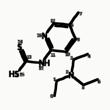 CCN(CC)CC.Cc1ccc(NC(=S)S)nc1